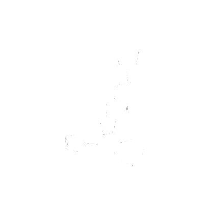 CC(C)C[C@H](NC(=O)c1ccc2c(c1)nc(Cc1cccs1)n2C1CCCCCC1)C(=O)O